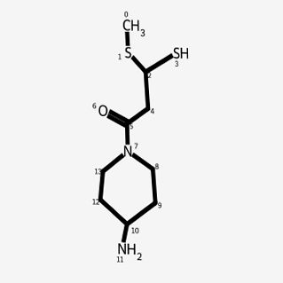 CSC(S)CC(=O)N1CCC(N)CC1